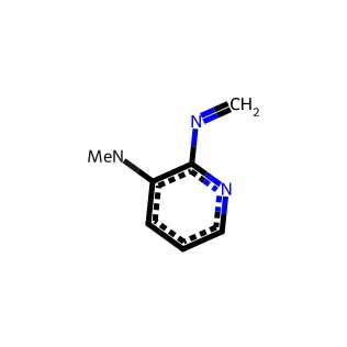 C=Nc1ncccc1NC